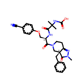 CN1N=C2CCN(C(=O)[C@@H](COc3ccc(C#N)cc3)NC(=O)C(C)(C)NC(=O)O)C[C@@]2(Cc2ccccc2)C1=O